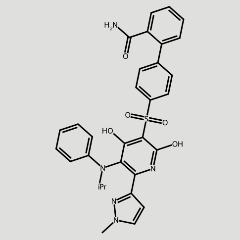 CC(C)N(c1ccccc1)c1c(-c2ccn(C)n2)nc(O)c(S(=O)(=O)c2ccc(-c3ccccc3C(N)=O)cc2)c1O